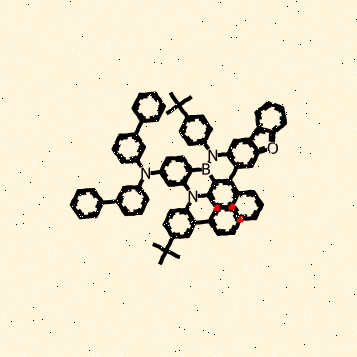 CC(C)(C)c1ccc(N2B3c4ccc(N(c5cccc(-c6ccccc6)c5)c5cccc(-c6ccccc6)c5)cc4N(c4ccc(C(C)(C)C)cc4-c4ccccc4)c4cc5ccccc5c(c43)-c3cc4oc5ccccc5c4cc32)cc1